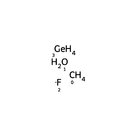 C.O.[F].[GeH4]